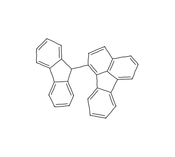 c1ccc2c(c1)-c1cccc3ccc(C4c5ccccc5-c5ccccc54)c-2c13